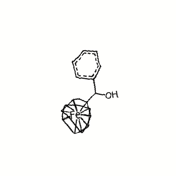 OC(c1ccccc1)[C]12[CH]3[CH]4[CH]5[CH]1[Fe]45321678[CH]2[CH]1[CH]6[CH]7[CH]28